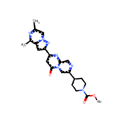 Cc1cn2nc(-c3cc(=O)n4cc(C5CCN(C(=O)OC(C)(C)C)CC5)ncc4n3)cc2c(C)n1